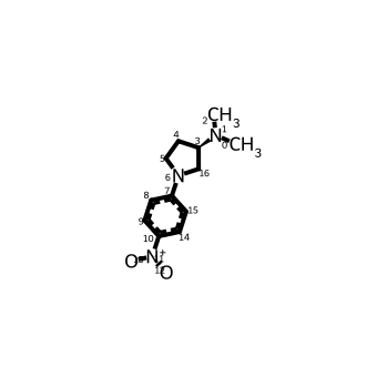 CN(C)[C@@H]1CCN(c2ccc([N+](=O)[O-])cc2)C1